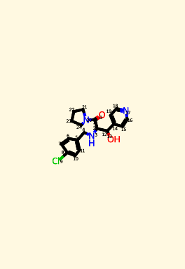 O=C(C(NCc1ccc(Cl)cc1)C(O)c1ccncc1)N1CCCC1